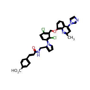 Cc1cc(-n2ccnc2)c2cccc(OCc3c(Cl)ccc(-n4cccc4CNC(=O)C=Cc4ccc(C(=O)O)cc4)c3Cl)c2n1